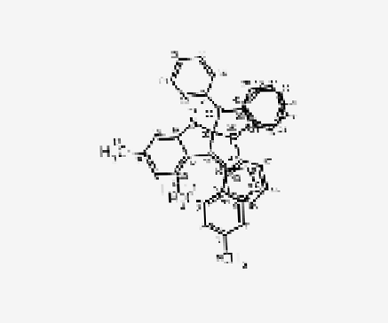 Cc1cc(C)c2c(c1)SCC2=C1c2c(C)cc(C)cc2SC1(P(c1ccccc1)c1ccccc1)P(c1ccccc1)c1ccccc1